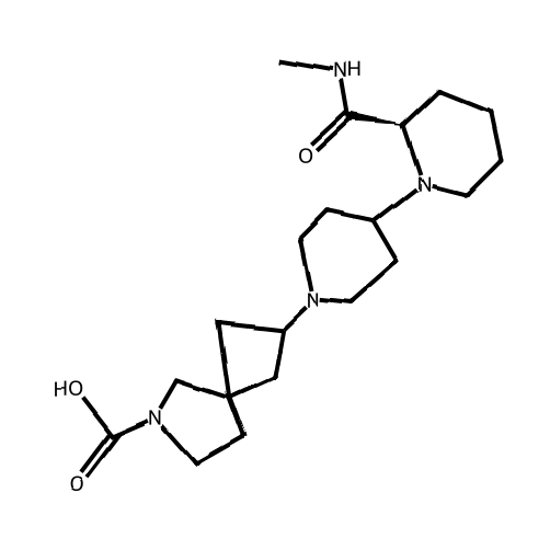 CNC(=O)[C@H]1CCCCN1C1CCN(C2CC3(CCN(C(=O)O)C3)C2)CC1